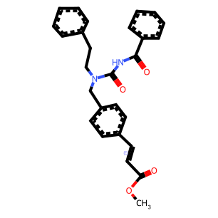 COC(=O)/C=C/c1ccc(CN(CCc2ccccc2)C(=O)NC(=O)c2ccccc2)cc1